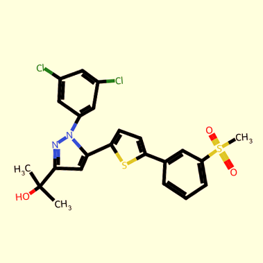 CC(C)(O)c1cc(-c2ccc(-c3cccc(S(C)(=O)=O)c3)s2)n(-c2cc(Cl)cc(Cl)c2)n1